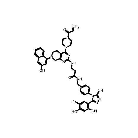 C=CC(=O)N1CCN(c2nc(NCCC(=O)NCc3ccc(-n4c(O)nnc4-c4cc(CC)c(O)cc4O)cc3)nc3c2CCN(c2cc(O)cc4ccccc24)C3)CC1